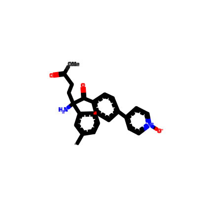 [CH2]c1cccc(C(N)(CCC(=O)OC)C(=O)c2ccc(-c3cc[n+]([O-])cc3)cc2)c1